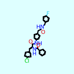 O=C(Cc1ccc(NC(=O)C(=Cc2ccc(Cl)cc2)NC(=O)c2ccccc2)cc1)NCc1ccc(F)cc1